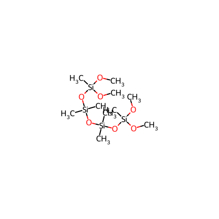 CO[Si](C)(OC)O[Si](C)(C)O[Si](C)(C)O[Si](C)(OC)OC